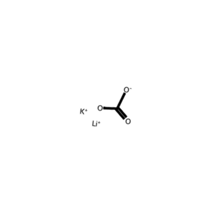 O=C([O-])[O-].[K+].[Li+]